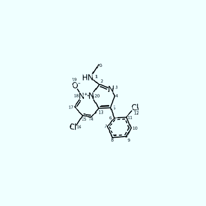 CNC1=NCC(c2ccccc2Cl)=C2C=C(Cl)C=[N+]([O-])N12